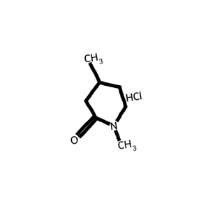 CC1CCN(C)C(=O)C1.Cl